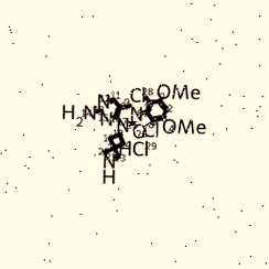 COc1cc(OC)c(Cl)c(N2Cc3cnc(N)nc3N(C3CC4(CNC4)C3)C2=O)c1Cl.Cl